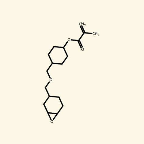 C=C(C)C(=O)OC1CCC(COCC2CCC3OC3C2)CC1